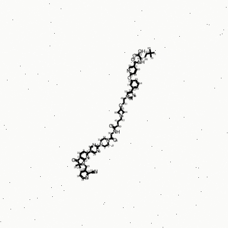 C[C@@H]1CN(c2ncc(-c3ccc4c(n3)N(Cc3cccnc3C#N)C(C)(C)C4=O)cn2)CCN1C(=O)CNC(=O)CCCN1CC(OCCn2cc(-c3cccc(Oc4ccc(C(=O)N[C@@H](CCC(C)(C)C)C(=O)O)cn4)c3)nn2)C1